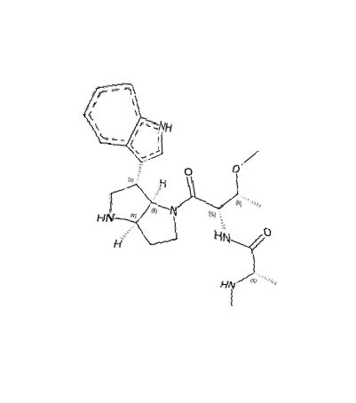 CN[C@@H](C)C(=O)N[C@H](C(=O)N1CC[C@H]2NC[C@H](c3c[nH]c4ccccc34)[C@H]21)[C@@H](C)OC